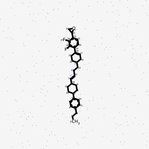 CCCc1ccc(C2CCC(/C=C/CCC3CC=C(c4ccc(C5CO5)c(F)c4F)CC3)CC2)cc1